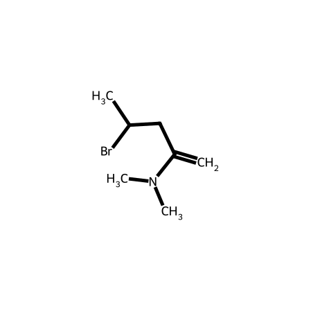 C=C(CC(C)Br)N(C)C